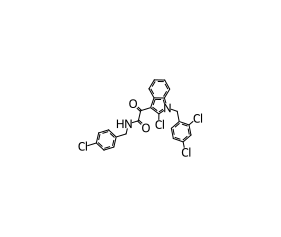 O=C(NCc1ccc(Cl)cc1)C(=O)c1c(Cl)n(Cc2ccc(Cl)cc2Cl)c2ccccc12